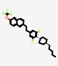 CCCCC[C@H]1CC[C@H](c2c(F)cc(CCc3ccc4cc(OC(F)(F)F)ccc4c3)cc2F)CC1